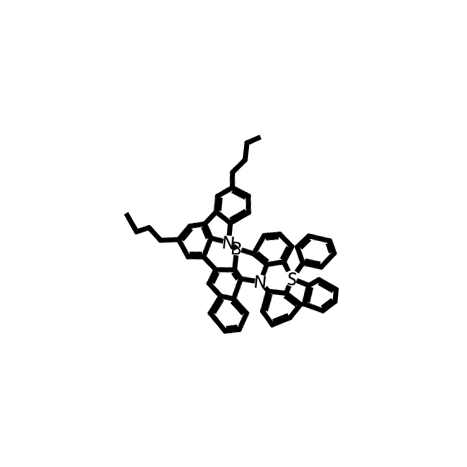 CCCCc1ccc2c(c1)c1cc(CCCC)cc3c1n2B1c2cccc4c2N(c2ccccc2S4(c2ccccc2)c2ccccc2)c2c1c-3cc1ccccc21